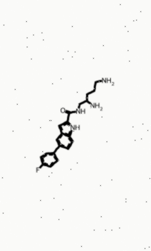 NCCCC(N)CNC(=O)c1cc2cc(-c3ccc(F)cc3)ccc2[nH]1